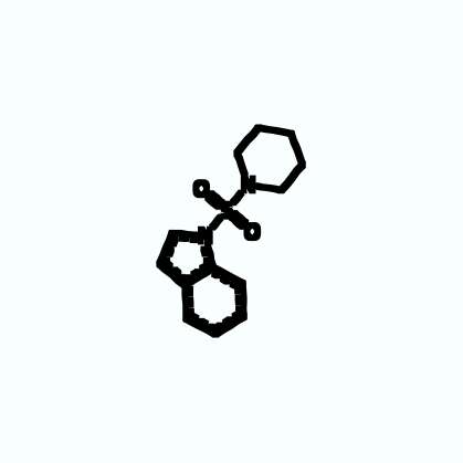 O=S(=O)(N1CCCCC1)n1ccc2ccccc21